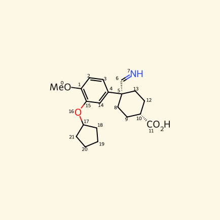 COc1ccc([C@]2(C=N)CC[C@@H](C(=O)O)CC2)cc1OC1CCCC1